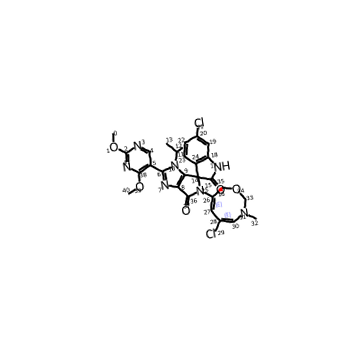 COc1ncc(-c2nc3c(n2C(C)C)C2(C(=O)Nc4cc(Cl)ccc42)N(/C2=C/C(Cl)=C\N(C)COC2)C3=O)c(OC)n1